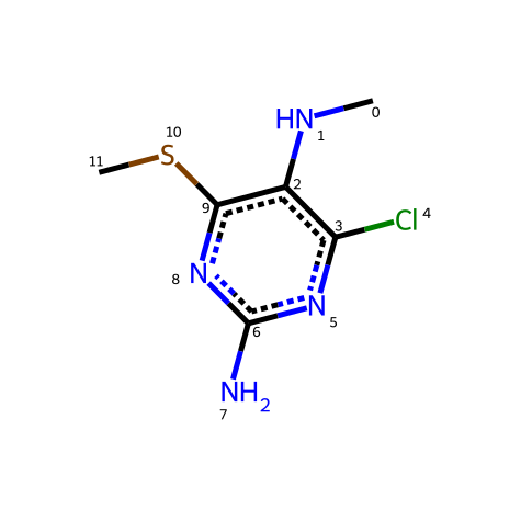 CNc1c(Cl)nc(N)nc1SC